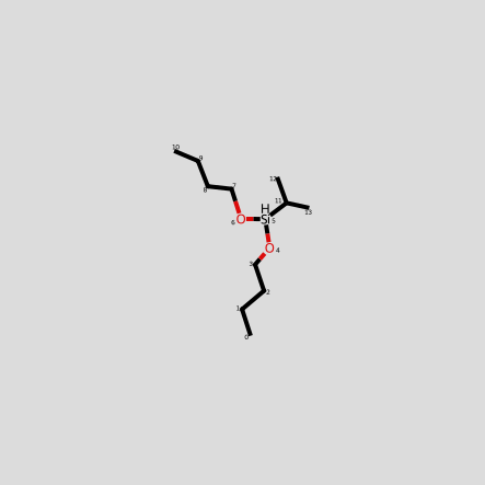 CCCCO[SiH](OCCCC)C(C)C